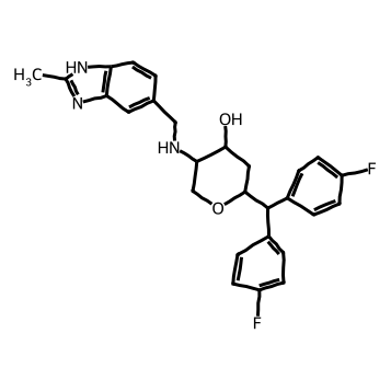 Cc1nc2cc(CNC3COC(C(c4ccc(F)cc4)c4ccc(F)cc4)CC3O)ccc2[nH]1